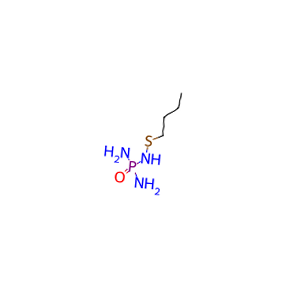 CCCCSNP(N)(N)=O